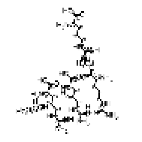 COC(=O)C(N)CCCNC(=N)N.Cl.Cl.Cl.Cl.N=C(N)NCCCC(N)C(=O)O.N=C(N)NCCCC(N)C(=O)O.N=C(N)NCCCC(N)C(=O)O